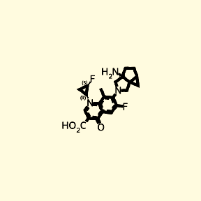 Cc1c(N2CC34CC3CC[C@@]4(N)C2)c(F)cc2c(=O)c(C(=O)O)cn([C@@H]3C[C@@H]3F)c12